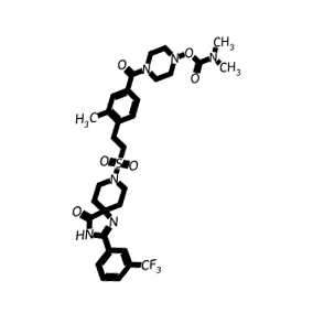 Cc1cc(C(=O)N2CCN(OC(=O)N(C)C)CC2)ccc1CCS(=O)(=O)N1CCC2(CC1)N=C(c1cccc(C(F)(F)F)c1)NC2=O